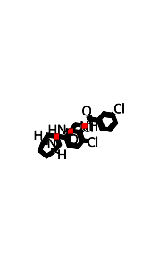 O=C(CNC(=O)c1cccc(Cl)c1)N[C@H]1C[C@H]2CC[C@@H](C1)N2Cc1ccc(Cl)c(Cl)c1